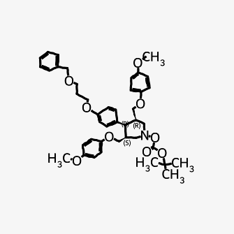 COc1ccc(OC[C@@H]2CN(OC(=O)OC(C)(C)C)C[C@H](COc3ccc(OC)cc3)[C@@H]2c2ccc(OCCCOCc3ccccc3)cc2)cc1